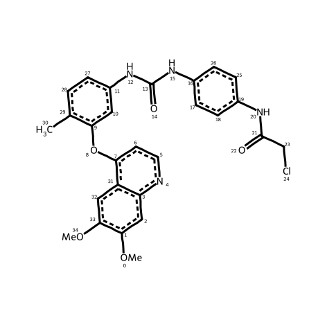 COc1cc2nccc(Oc3cc(NC(=O)Nc4ccc(NC(=O)CCl)cc4)ccc3C)c2cc1OC